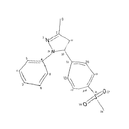 CC1=NN(c2ccccc2)C(c2ccc(S(C)(=O)=O)cc2)C1